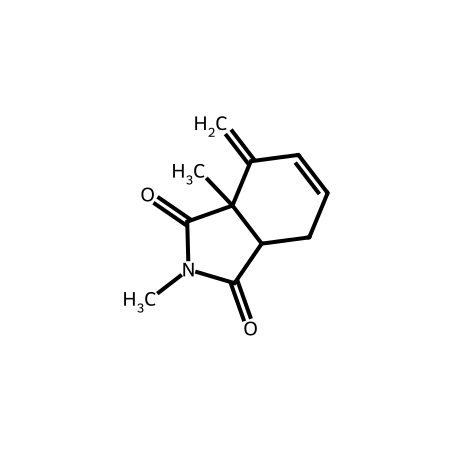 C=C1C=CCC2C(=O)N(C)C(=O)C12C